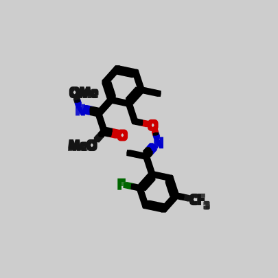 CO/N=C(/C(=O)OC)c1cccc(C)c1CO/N=C(\C)c1cc(C(F)(F)F)ccc1F